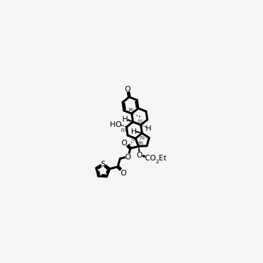 CCOC(=O)O[C@]1(C(=O)OCC(=O)c2cccs2)CC[C@H]2[C@@H]3CCC4=CC(=O)C=C[C@]4(C)[C@H]3[C@@H](O)C[C@@]21C